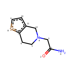 NC(=O)CN1CCc2sccc2C1